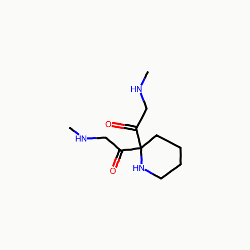 CNCC(=O)C1(C(=O)CNC)CCCCN1